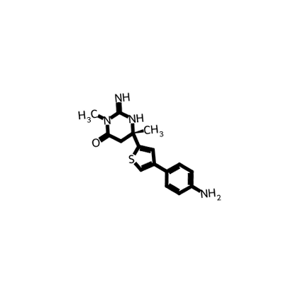 CN1C(=N)N[C@](C)(c2cc(-c3ccc(N)cc3)cs2)CC1=O